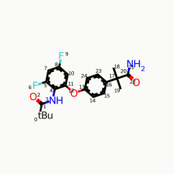 CC(C)(C)C(=O)Nc1c(F)cc(F)cc1Oc1ccc(C(C)(C)C(N)=O)cc1